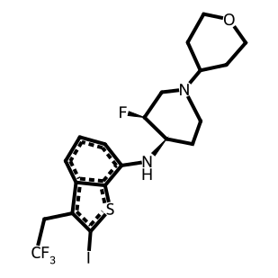 F[C@H]1CN(C2CCOCC2)CC[C@H]1Nc1cccc2c(CC(F)(F)F)c(I)sc12